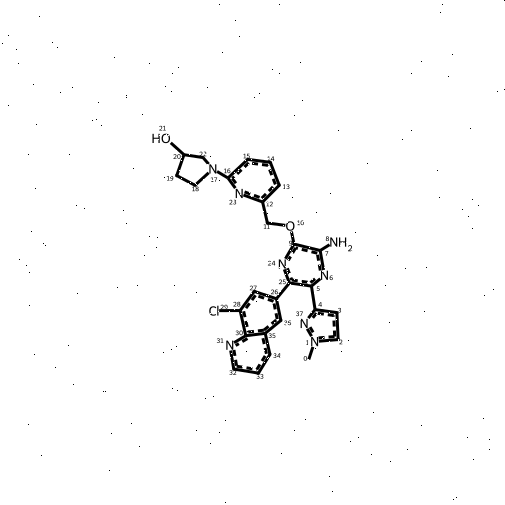 Cn1ccc(-c2nc(N)c(OCc3cccc(N4CCC(O)C4)n3)nc2-c2cc(Cl)c3ncccc3c2)n1